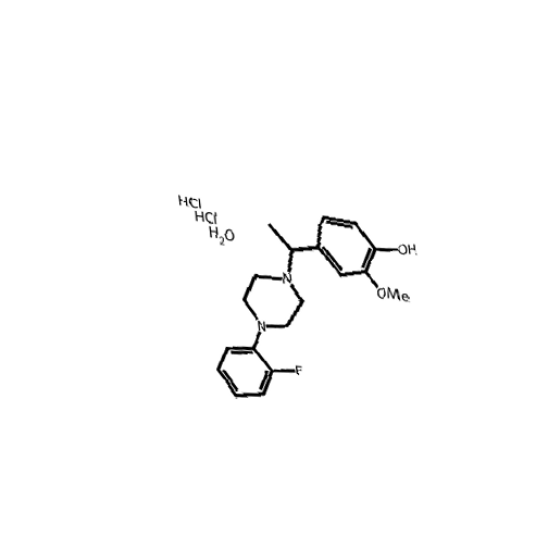 COc1cc(C(C)N2CCN(c3ccccc3F)CC2)ccc1O.Cl.Cl.O